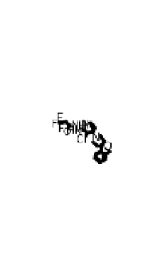 O=C(CC(F)(F)F)NNc1nccc(N2CCC3(CC2)OCc2ccccc23)c1Cl